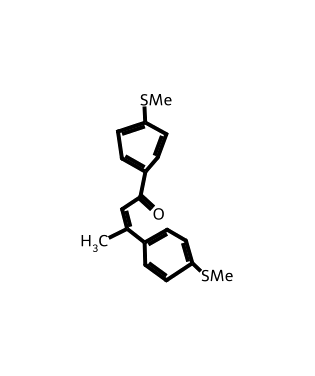 CSc1ccc(C(=O)C=C(C)c2ccc(SC)cc2)cc1